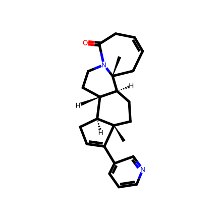 C[C@]12CC[C@H]3[C@@H](CCN4C(=O)CC=CC[C@]34C)[C@@H]1CC=C2c1cccnc1